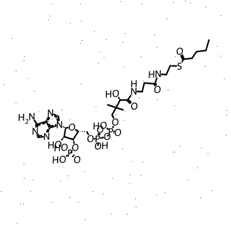 CCCCC(=O)SCCNC(=O)CCNC(=O)[C@H](O)C(C)(C)COP(=O)(O)OP(=O)(O)OC[C@H]1O[C@@H](n2cnc3c(N)ncnc32)[C@H](O)[C@@H]1OP(=O)(O)O